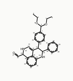 CCOC(OCC)c1ccc(C2C3=NNC(C=O)c4cccc(c43)NC2c2ccccc2)cc1